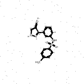 Cc1ccc(S(=O)(=O)Nc2cccc(C3=NOCC3=O)c2)cc1